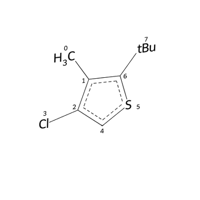 Cc1c(Cl)csc1C(C)(C)C